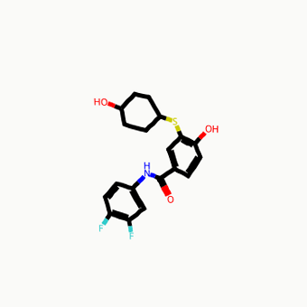 O=C(Nc1ccc(F)c(F)c1)c1ccc(O)c(SC2CCC(O)CC2)c1